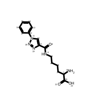 NC(CCCCNC(=O)c1cn(-c2ccccc2)nn1)C(=O)O